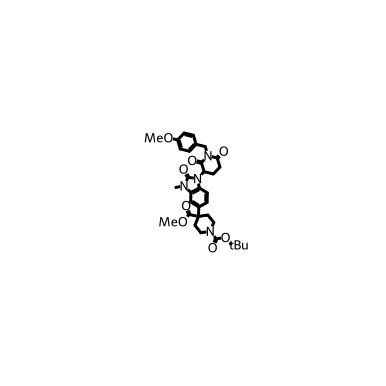 COC(=O)C1(c2ccc3c(c2)n(C)c(=O)n3C2CCC(=O)N(Cc3ccc(OC)cc3)C2=O)CCN(C(=O)OC(C)(C)C)CC1